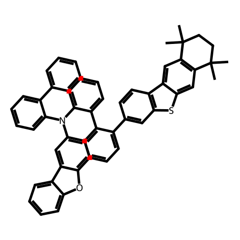 CC1(C)CCC(C)(C)c2cc3c(cc21)sc1cc(-c2ccccc2-c2ccccc2N(c2ccc4oc5ccccc5c4c2)c2ccccc2-c2ccccc2)ccc13